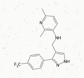 Cc1ccc(NCc2c[nH]nc2-c2ccc(C(F)(F)F)cc2)c(C)n1